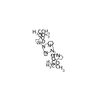 CC(C)(C)OC(=O)C1CCCN1C(=O)CN1Cc2cccc(n2)CN(CC(=O)N2CCCC2C(=O)OC(C)(C)C)Cc2cccc(n2)C1